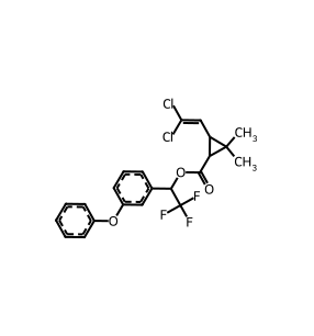 CC1(C)C(C=C(Cl)Cl)C1C(=O)OC(c1cccc(Oc2ccccc2)c1)C(F)(F)F